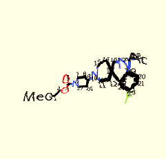 COCCOC(=O)N1CCC(N2CCC3(CC2)CN(C(C)=O)c2ccc(F)cc23)CC1